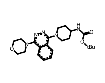 CC(C)(C)OC(=O)NC1CCN(c2nnc(N3CCOCC3)c3ccccc23)CC1